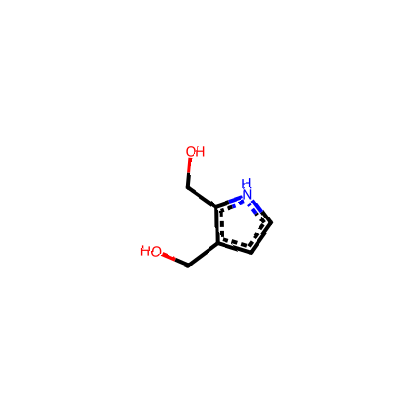 OCc1cc[nH]c1CO